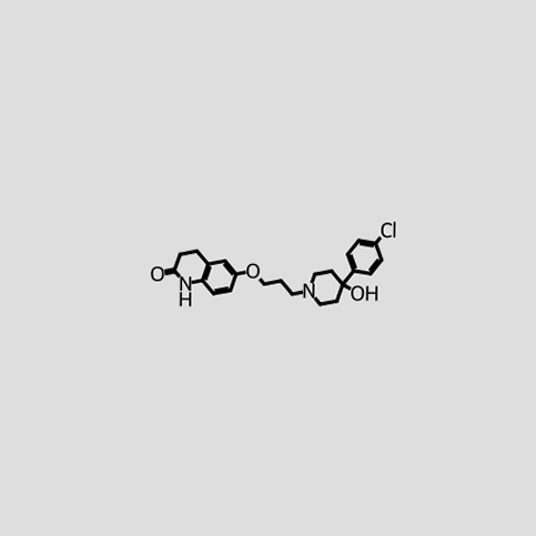 O=C1CCc2cc(OCCCN3CCC(O)(c4ccc(Cl)cc4)CC3)ccc2N1